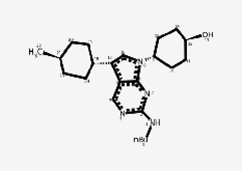 CCCCNc1ncc2c(n1)n([C@H]1CC[C@H](O)CC1)cc2[C@H]1CC[C@H](C)CC1